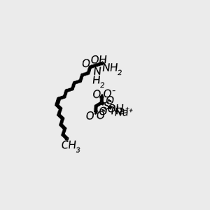 CCCCCCCC/C=C\CCCCCCCC(=O)C(N)(O)CN.O=C([O-])CC(C(=O)[O-])S(=O)(=O)O.[Na+].[Na+]